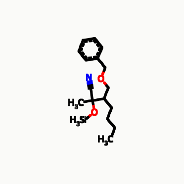 CCCCC(COCc1ccccc1)C(C)(C#N)O[SiH3]